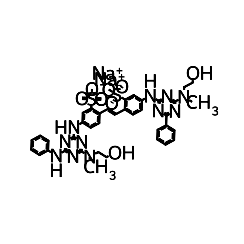 CN(CCO)c1nc(Nc2ccccc2)nc(Nc2ccc(C=Cc3ccc(Nc4nc(-c5ccccc5)nc(N(C)CCO)n4)cc3S(=O)(=O)[O-])c(S(=O)(=O)[O-])c2)n1.[Na+].[Na+]